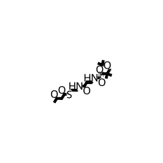 CC(=O)CC(=O)SCCNC(=O)C=CNC(=O)[C@@H]1OC(C)(C)OCC1(C)C